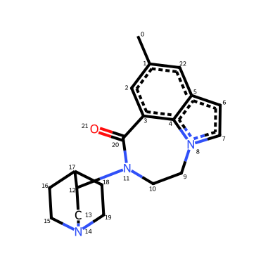 Cc1cc2c3c(ccn3CCN(C3CN4CCC3CC4)C2=O)c1